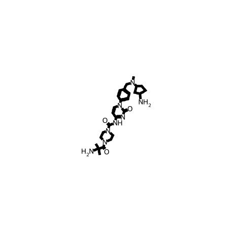 CN(Cc1ccc(-n2ccc(NC(=O)N3CCN(C(=O)C(C)(C)N)CC3)nc2=O)cc1)C1CCC(N)C1